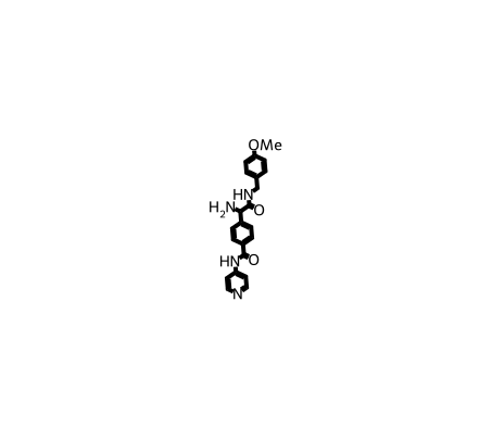 COc1ccc(CNC(=O)C(N)c2ccc(C(=O)Nc3ccncc3)cc2)cc1